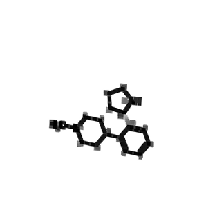 CN1CCC(c2ccccc2[C@@H]2CCCN2)CC1